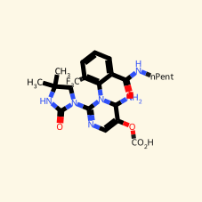 CCCCCNC(=O)c1cccc(C(F)(F)F)c1N1C(N2CC(C)(C)NC2=O)=NC=C(OC(=O)O)C1N